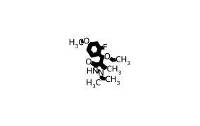 CCOC(c1ccc(OC)cc1F)c1c(C)n(C(C)C)[nH]c1=O